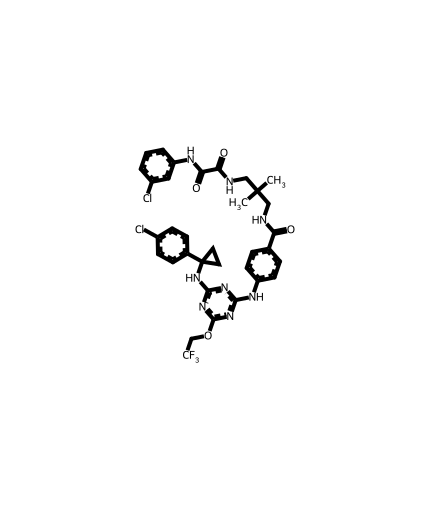 CC(C)(CNC(=O)C(=O)Nc1cccc(Cl)c1)CNC(=O)c1ccc(Nc2nc(NC3(c4ccc(Cl)cc4)CC3)nc(OCC(F)(F)F)n2)cc1